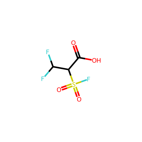 O=C(O)C(C(F)F)S(=O)(=O)F